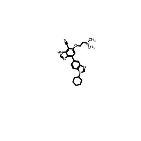 CN(C)CCOc1cc(-c2ccc3c(c2)ncn3C2CCCCC2)c2nc[nH]c2c1C#N